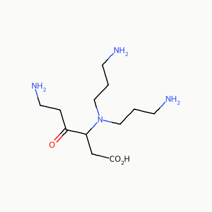 NCCCN(CCCN)C(CC(=O)O)C(=O)CCN